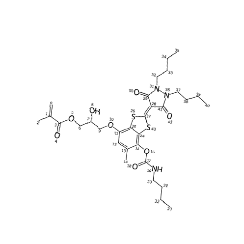 C=C(C)C(=O)OCC(O)COc1cc(C)c(OC(=O)NCCCC)c2c1SC(=C1C(=O)N(CCCC)N(CCCC)C1=O)S2